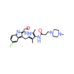 Cc1[nH]c(CC2=c3cc(F)ccc3=NC2=C=O)c(C)c1NC(=O)CCN1CCN(C)CC1